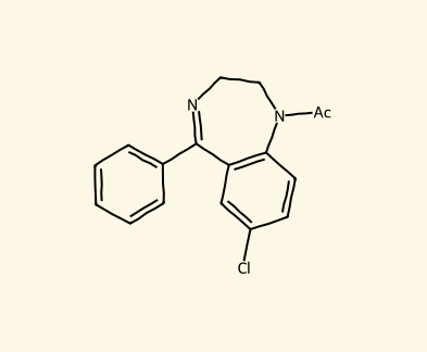 CC(=O)N1CCN=C(c2ccccc2)c2cc(Cl)ccc21